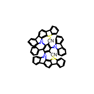 N#Cc1c(-n2c3ccccc3c3ccccc32)c(C#N)c(-n2c3ccccc3c3ccc4c5ccccc5sc4c32)c(-c2ccccc2)c1-n1c2ccccc2c2ccc3c4ccccc4sc3c21